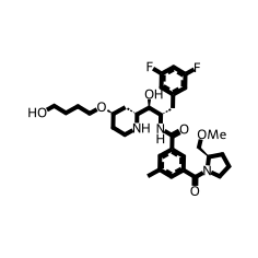 COC[C@H]1CCCN1C(=O)c1cc(C)cc(C(=O)N[C@@H](Cc2cc(F)cc(F)c2)[C@H](O)[C@H]2C[C@@H](OCCCCO)CCN2)c1